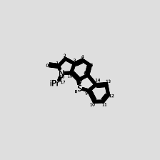 C=C1Cc2ccc3c(sc4ccccc43)c2N1C(C)C